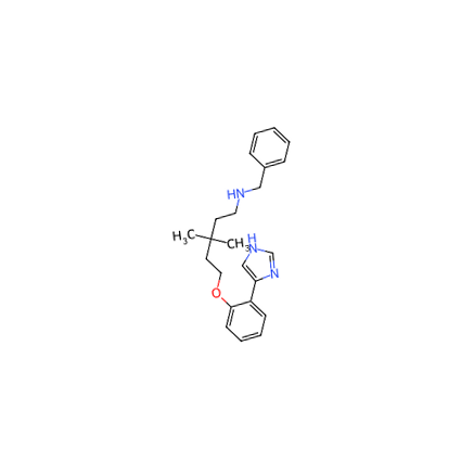 CC(C)(CCNCc1ccccc1)CCOc1ccccc1-c1c[nH]cn1